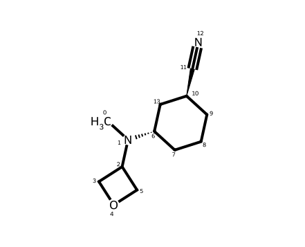 CN(C1COC1)[C@H]1CCC[C@H](C#N)C1